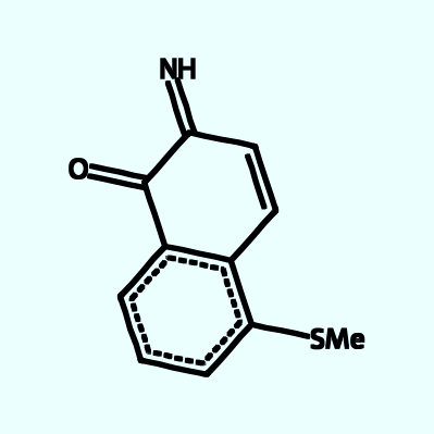 CSc1cccc2c1C=CC(=N)C2=O